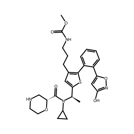 COC(=O)NCCCc1cc([C@@H](C)N(C(=O)[C@H]2CNCCO2)C2CC2)sc1-c1ccccc1-c1cc(O)no1